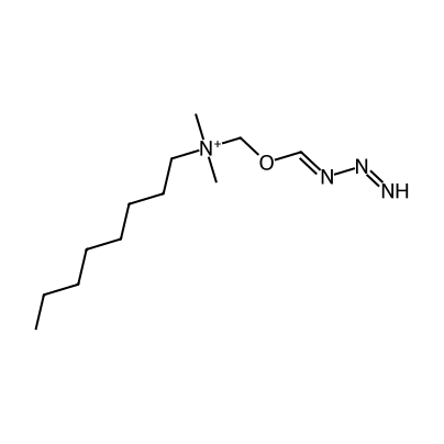 CCCCCCCC[N+](C)(C)CO/C=N/N=N